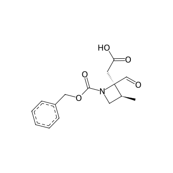 C[C@H]1CN(C(=O)OCc2ccccc2)[C@]1(C=O)CC(=O)O